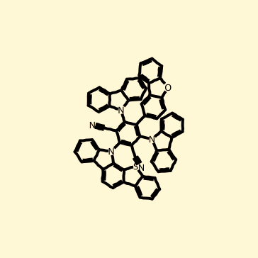 N#Cc1c(-n2c3ccccc3c3ccccc32)c(-c2ccc3oc4ccccc4c3c2)c(-n2c3ccccc3c3ccccc32)c(C#N)c1-n1c2ccccc2c2ccc3c4ccccc4sc3c21